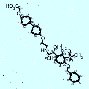 C[C@H](NCCOc1ccc(-c2ccc(OCC(=O)O)cc2)cc1)[C@H](O)c1ccc(OCc2ccccc2)c(S(C)(=O)=O)c1N